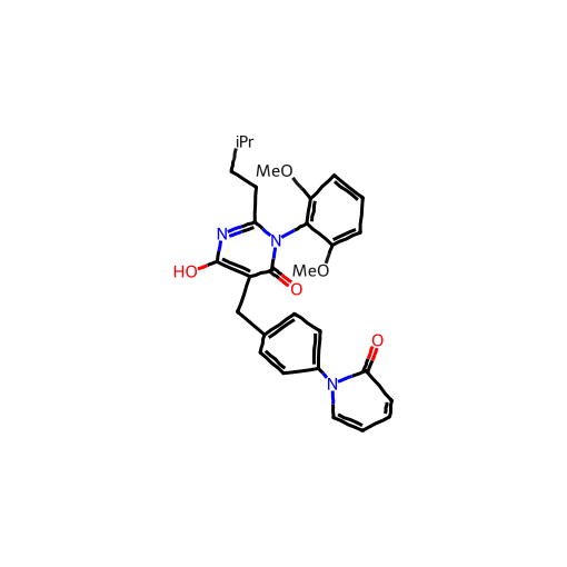 COc1cccc(OC)c1-n1c(CCC(C)C)nc(O)c(Cc2ccc(-n3ccccc3=O)cc2)c1=O